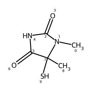 CN1C(=O)NC(=O)C1(C)S